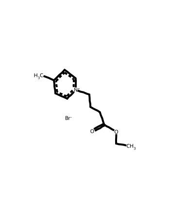 CCOC(=O)CCC[n+]1ccc(C)cc1.[Br-]